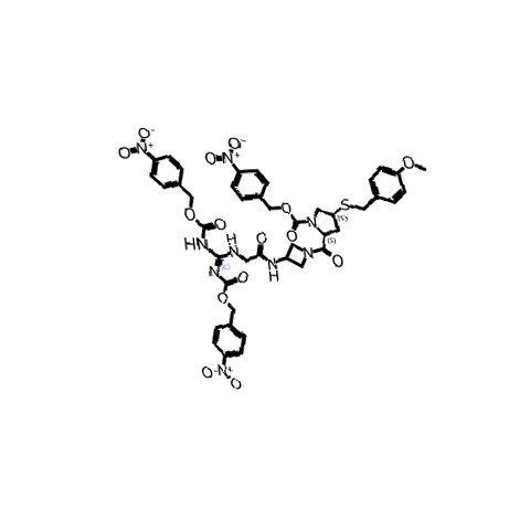 COc1ccc(CS[C@H]2C[C@@H](C(=O)N3CC(NC(=O)CN/C(=N\C(=O)OCc4ccc([N+](=O)[O-])cc4)NC(=O)OCc4ccc([N+](=O)[O-])cc4)C3)N(C(=O)OCc3ccc([N+](=O)[O-])cc3)C2)cc1